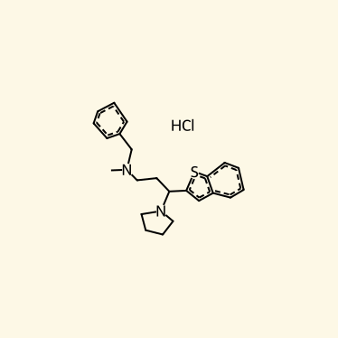 CN(CCC(c1cc2ccccc2s1)N1CCCC1)Cc1ccccc1.Cl